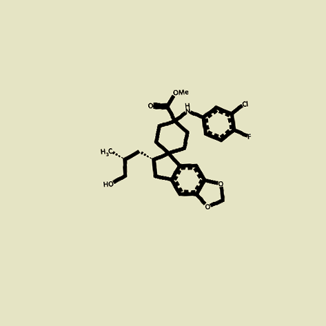 COC(=O)C1(Nc2ccc(F)c(Cl)c2)CCC2(CC1)c1cc3c(cc1C[C@@H]2C[C@@H](C)CO)OCO3